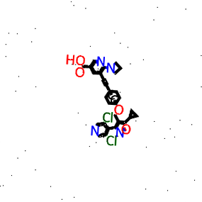 O=C(O)c1cnc(N2CCC2)c(C#CC23CCC(OCc4c(-c5c(Cl)cncc5Cl)noc4C4CC4)(CC2)CC3)c1